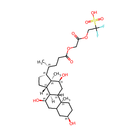 C[C@H](CCC(=O)OCC(=O)OCC(F)(F)S(=O)(=O)O)[C@H]1CC[C@H]2[C@@H]3[C@H](O)CC4C[C@H](O)CC[C@]4(C)[C@H]3C[C@H](O)[C@]12C